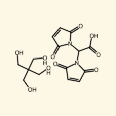 O=C(O)C(N1C(=O)C=CC1=O)N1C(=O)C=CC1=O.OCC(CO)(CO)CO